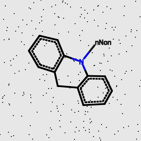 CCCCCCCCCN1c2ccccc2Cc2ccccc21